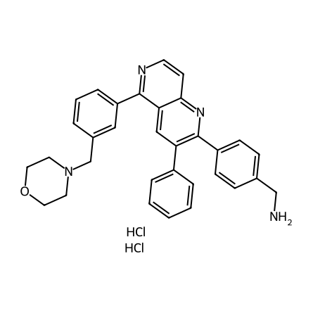 Cl.Cl.NCc1ccc(-c2nc3ccnc(-c4cccc(CN5CCOCC5)c4)c3cc2-c2ccccc2)cc1